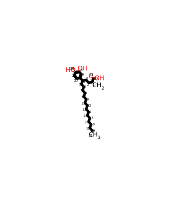 C=C(CCC(CCCCCCCCCCCCCCCCC)c1ccc(O)c(O)c1)C(=O)O